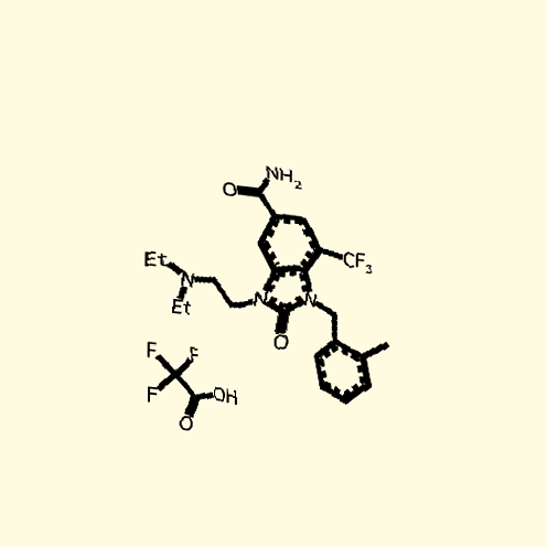 CCN(CC)CCn1c(=O)n(Cc2ccccc2C)c2c(C(F)(F)F)cc(C(N)=O)cc21.O=C(O)C(F)(F)F